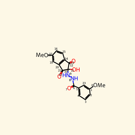 COc1cccc(C(=O)NNC2(O)C(=O)c3ccc(OC)cc3C2=O)c1